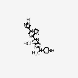 CN(c1nc2sc(-c3ncc(-c4cn[nH]c4)n4ccnc34)nc2s1)C1CCNCC1.Cl